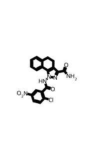 NC(=O)c1nn(NC(=O)c2cc([N+](=O)[O-])ccc2Cl)c2c1CCc1ccccc1-2